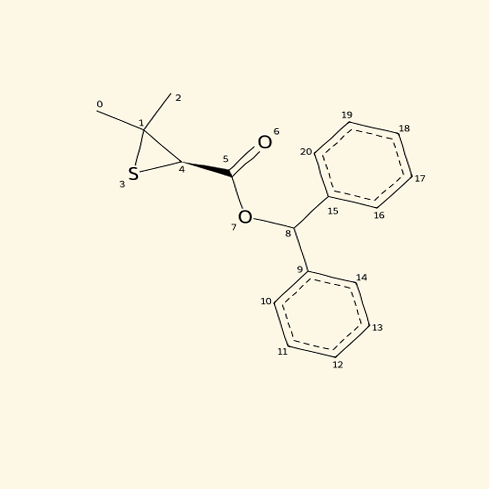 CC1(C)S[C@@H]1C(=O)OC(c1ccccc1)c1ccccc1